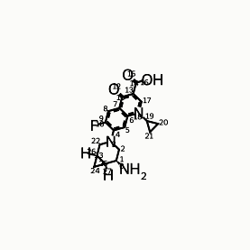 N[C@@H]1CN(c2cc3c(cc2F)c(=O)c(C(=O)O)cn3C2CC2)C[C@H]2C[C@H]21